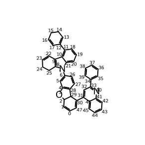 C1=CC2Oc3cc(-n4c5c(c6c(C7=CCCC=C7)cccc64)C=CCC5)ccc3C2C(c2cc(-c3ccccc3)nc3ccccc23)=C1